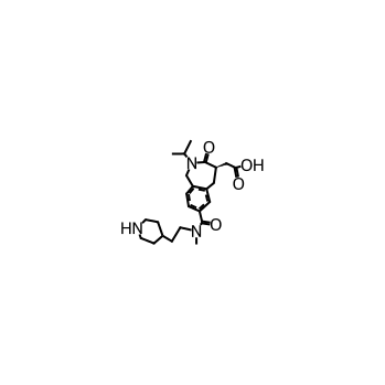 CC(C)N1Cc2ccc(C(=O)N(C)CCC3CCNCC3)cc2C[C@H](CC(=O)O)C1=O